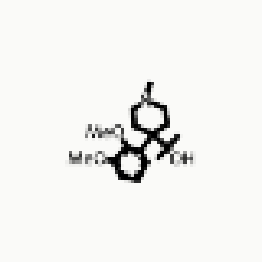 COc1cccc(C2(C(C)(C)O)CCN(C)CC2)c1OC